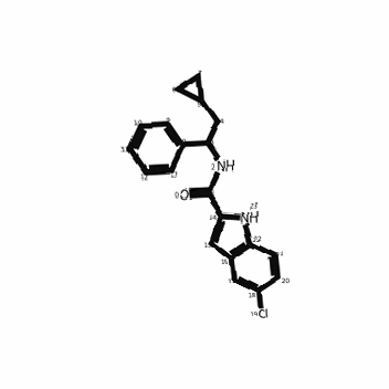 O=C(NC(CC1CC1)c1ccccc1)c1cc2cc(Cl)ccc2[nH]1